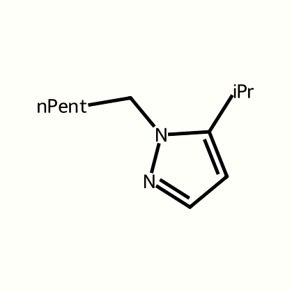 CCCCCCn1nccc1C(C)C